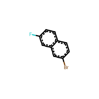 Fc1ccc2ccc(Br)cc2c1